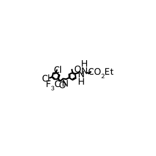 CCOC(=O)CNNC(=O)c1ccc(C2=NOC(c3cc(Cl)cc(Cl)c3)(C(F)(F)F)C2)cc1C